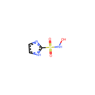 O=S(=O)(NO)c1ncc[nH]1